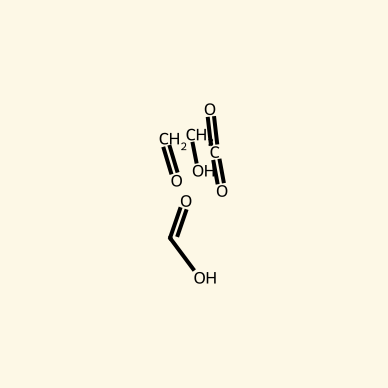 C=O.CO.O=C=O.O=CO